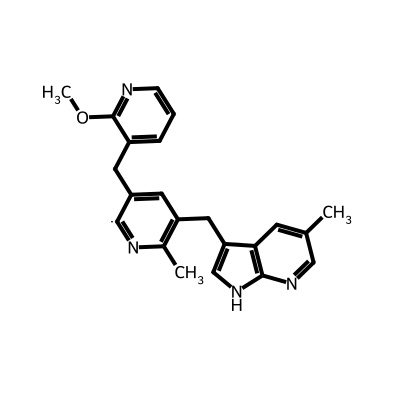 COc1ncccc1Cc1[c]nc(C)c(Cc2c[nH]c3ncc(C)cc23)c1